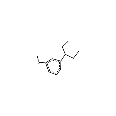 CCC(CC)c1cccc(SC)c1